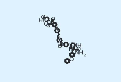 NC(=O)c1c(-c2ccc(Oc3ccccc3)cc2)nn2c1NCC[C@H]2C1CCN(C(=O)N2CCN(CCC3CCN(c4ccc5c(c4)C(=O)N(C4CCC(=O)NC4=O)C5=O)CC3)CC2)CC1